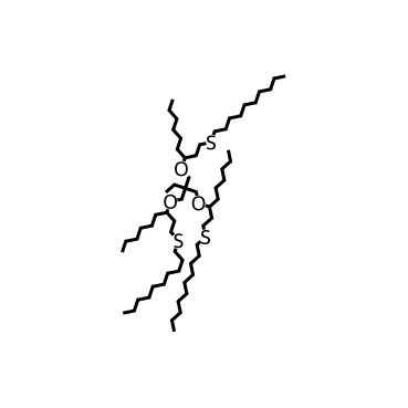 CCCCCCCCCCSCCC(CCCCCC)OCC(CC)(COC(CCCCCC)CCSCCCCCCCCCC)COC(CCCCCC)CCSCCCCCCCCCC